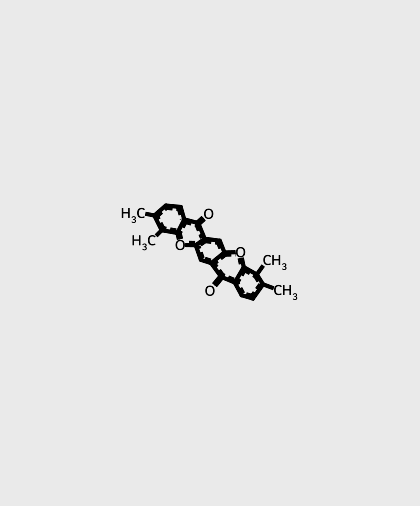 Cc1ccc2c(=O)c3cc4oc5c(C)c(C)ccc5c(=O)c4cc3oc2c1C